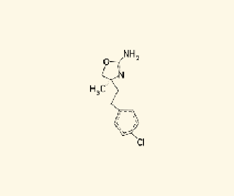 C[C@]1(CCc2ccc(Cl)cc2)COC(N)=N1